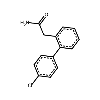 NC(=O)Cc1ccccc1-c1ccc(Cl)cc1